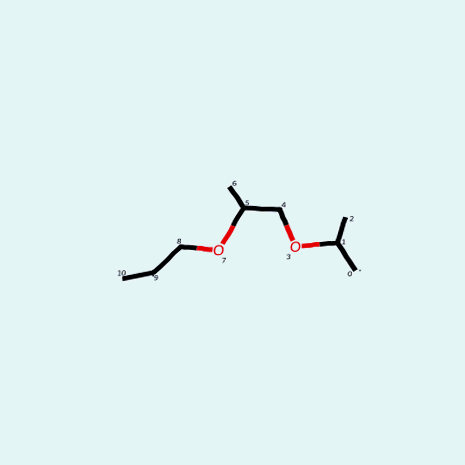 [CH2]C(C)OCC(C)OC[CH]C